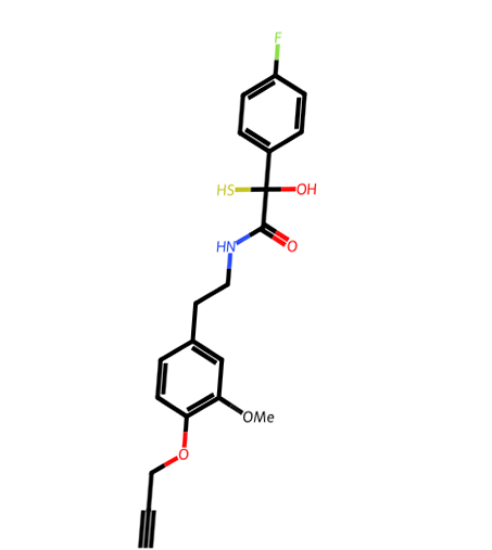 C#CCOc1ccc(CCNC(=O)C(O)(S)c2ccc(F)cc2)cc1OC